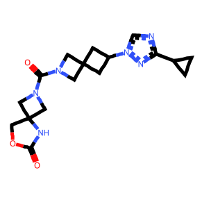 O=C1NC2(CO1)CN(C(=O)N1CC3(CC(n4cnc(C5CC5)n4)C3)C1)C2